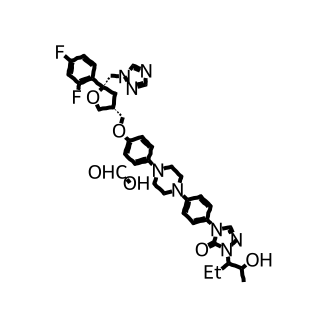 CCC(C(C)O)n1ncn(-c2ccc(N3CCN(c4ccc(OC[C@@H]5CO[C@@](Cn6cncn6)(c6ccc(F)cc6F)C5)cc4)CC3)cc2)c1=O.O=CO